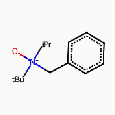 CC(C)[N+]([O])(Cc1ccccc1)C(C)(C)C